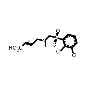 O=C(O)/C=C/CNCS(=O)(=O)c1cccc(Cl)c1Cl